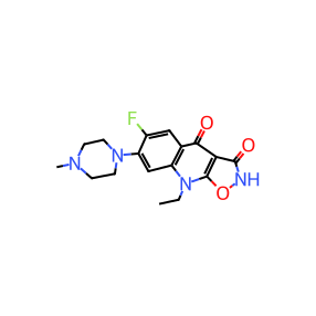 CCn1c2cc(N3CCN(C)CC3)c(F)cc2c(=O)c2c(=O)[nH]oc21